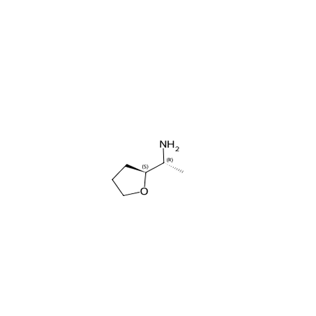 C[C@@H](N)[C@@H]1CCCO1